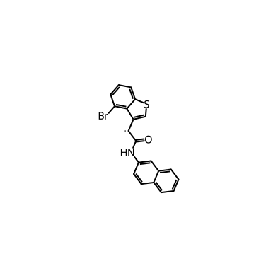 O=C([CH]c1csc2cccc(Br)c12)Nc1ccc2ccccc2c1